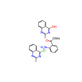 COC(=O)c1ccccc1N.Cc1nc(Cl)c2ccccc2n1.Cc1nc(O)c2ccccc2n1